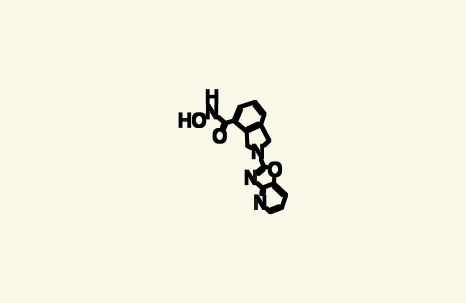 O=C(NO)c1cccc2c1CN(c1nc3ncccc3o1)C2